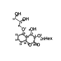 CCCCCCOc1c(O)c2c(OCC(O)CO)cccc2oc1=O